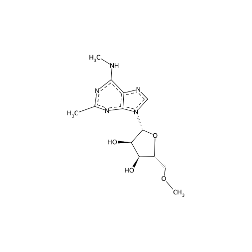 CNc1nc(C)nc2c1ncn2[C@@H]1O[C@H](COC)[C@@H](O)[C@H]1O